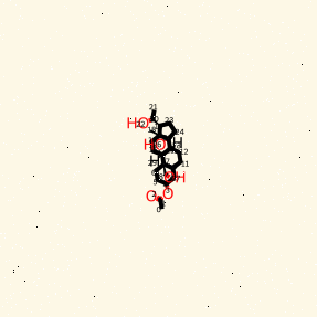 CC(=O)OC1CC[C@@]2(CO)C(CC[C@@H]3[C@@H]2CC[C@]2(C)[C@@H](C(C)O)CC[C@@]32O)C1